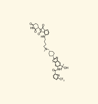 CN(CCCCNc1cccc2c1C(=O)N(C1CCC(=O)NC1=O)C2=O)C[C@H]1CC[C@H](c2nc3cc(C(C)(C)O)c(NC(=O)c4cccc(C(F)(F)F)n4)cc3s2)CC1